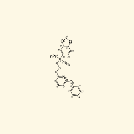 C#CC(CCC)(CCCc1cccc(Oc2ccccc2)n1)c1ccc2c(c1)OCO2